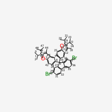 CC(C)[Si](Oc1ccc(C2(c3ccc(O[Si](C(C)C)(C(C)C)C(C)C)cc3)c3cc(Br)ccc3-c3ccc(Br)cc32)cc1)(C(C)C)C(C)C